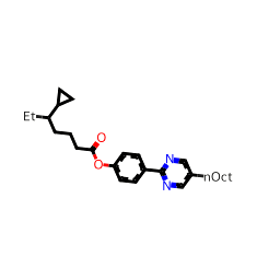 CCCCCCCCc1cnc(-c2ccc(OC(=O)CCCC(CC)C3CC3)cc2)nc1